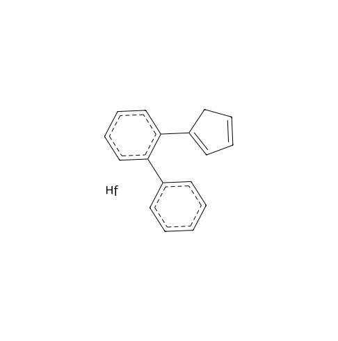 C1=CCC(c2ccccc2-c2ccccc2)=C1.[Hf]